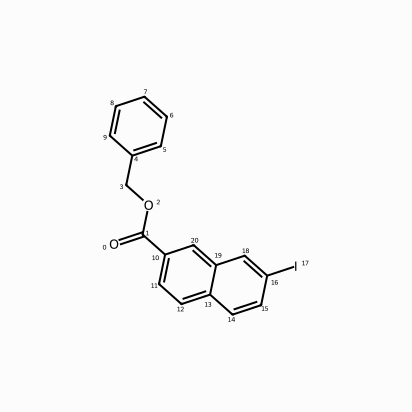 O=C(OCc1ccccc1)c1ccc2ccc(I)cc2c1